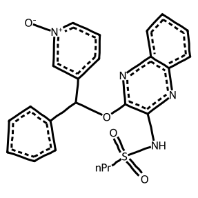 CCCS(=O)(=O)Nc1nc2ccccc2nc1OC(c1ccccc1)c1ccc[n+]([O-])c1